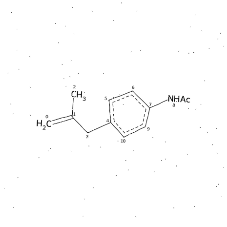 C=C(C)Cc1ccc(NC(C)=O)cc1